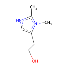 Cc1[nH]cc(CCO)[n+]1C